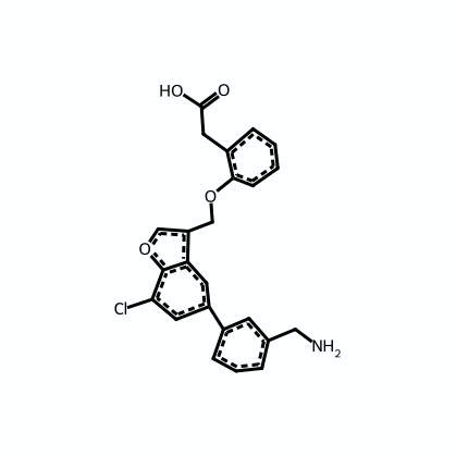 NCc1cccc(-c2cc(Cl)c3occ(COc4ccccc4CC(=O)O)c3c2)c1